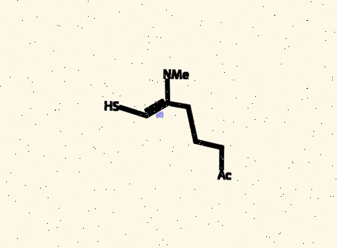 CN/C(=C\S)CCCC(C)=O